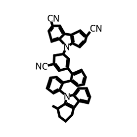 CC1CCCc2c1n(-c1ccccc1-c1ccccc1C1=CC(n3c4ccc(C#N)cc4c4cc(C#N)ccc43)CC(C#N)=C1)c1ccccc21